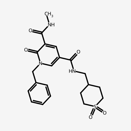 CNC(=O)c1cc(C(=O)NCC2CCS(=O)(=O)CC2)cn(Cc2ccccc2)c1=O